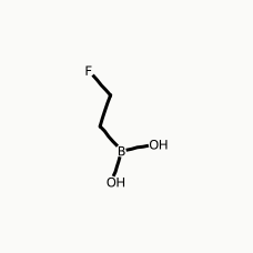 OB(O)CCF